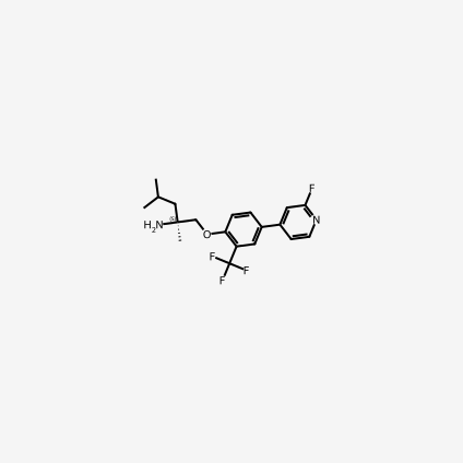 CC(C)C[C@](C)(N)COc1ccc(-c2ccnc(F)c2)cc1C(F)(F)F